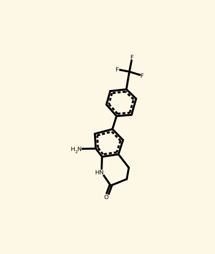 Nc1cc(-c2ccc(C(F)(F)F)cc2)cc2c1NC(=O)CC2